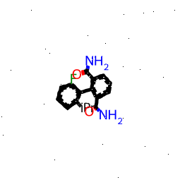 CC(C)c1cccc(F)c1-c1c(C(N)=O)cccc1C(N)=O